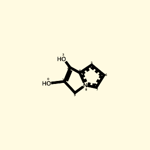 OC1=C(O)c2cccn2C1